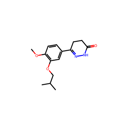 COc1ccc(C2=NNC(=O)CC2)cc1OCC(C)C